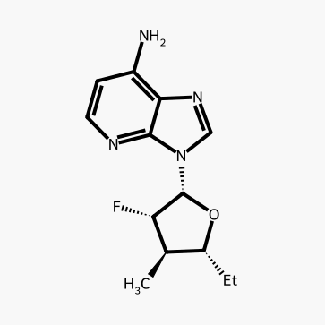 CC[C@H]1O[C@@H](n2cnc3c(N)ccnc32)[C@@H](F)[C@@H]1C